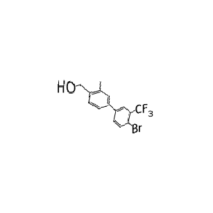 Cc1cc(-c2ccc(Br)c(C(F)(F)F)c2)ccc1CO